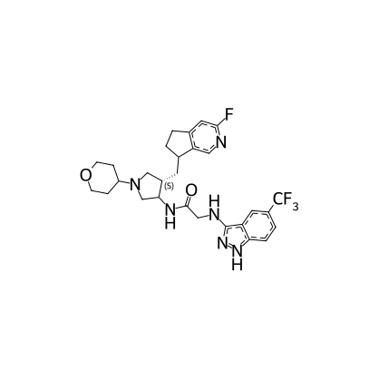 O=C(CNc1n[nH]c2ccc(C(F)(F)F)cc12)NC1CN(C2CCOCC2)C[C@@H]1CC1CCc2cc(F)ncc21